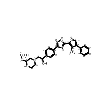 O=C(O)OC1CN(CC(O)c2ccc(-c3noc(-c4onc(-c5ccccc5)c4C(F)(F)F)n3)cc2)CCO1